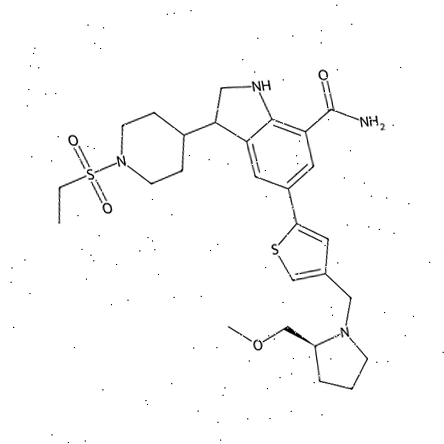 CCS(=O)(=O)N1CCC(C2CNc3c(C(N)=O)cc(-c4cc(CN5CCC[C@H]5COC)cs4)cc32)CC1